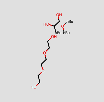 CCCCC(O)CO.CCCCOCCCC.OCCOCCOCCO